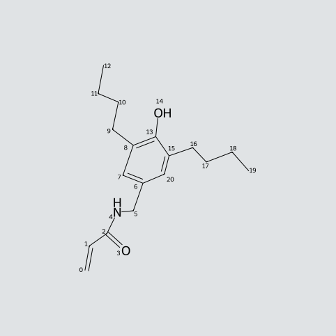 C=CC(=O)NCc1cc(CCCC)c(O)c(CCCC)c1